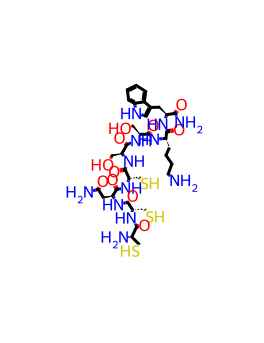 NCCCC[C@H](NC(=O)[C@H](CO)NC(=O)[C@H](CO)NC(=O)[C@H](CS)NC(=O)[C@H](CC(N)=O)NC(=O)[C@H](CS)NC(=O)[C@@H](N)CS)C(=O)N[C@@H](Cc1c[nH]c2ccccc12)C(N)=O